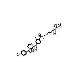 COc1ccc(-c2cnc3c(Nc4ccc(C(=O)NCCCCCNC(=O)OC(C)(C)C)c(C)c4)nccn23)cc1